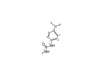 CNC(=O)Nc1ccc(C(C)C)cc1